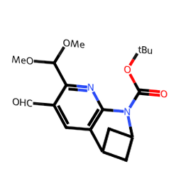 COC(OC)c1nc2c(cc1C=O)C1CC(C1)N2C(=O)OC(C)(C)C